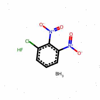 B.F.O=[N+]([O-])c1cccc(Cl)c1[N+](=O)[O-]